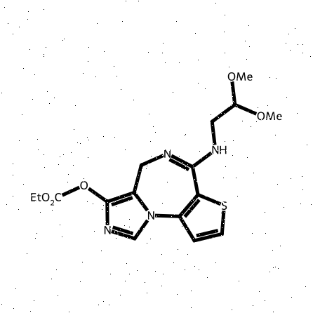 CCOC(=O)Oc1ncn2c1CN=C(NCC(OC)OC)c1sccc1-2